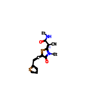 CCNC(=O)/C(C#N)=c1\sc(=C=Cc2cccs2)c(=O)n1CC